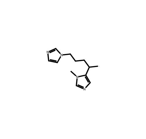 [CH2]C(CCCn1ccnc1)c1cncn1C